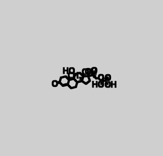 CC12CCC(=O)C=C1CCC1C2C(O)CC2(C)C1CCC2(O)C(=O)COP(=O)(O)O